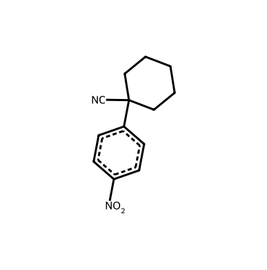 N#CC1(c2ccc([N+](=O)[O-])cc2)CCCCC1